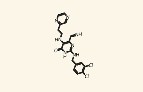 N=Cc1nc(NCc2ccc(Cl)c(Cl)c2)[nH]c(=O)c1NCCc1cnccn1